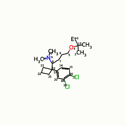 CCC(C)(C)OCCCC(N(C)C)C1(c2ccc(Cl)c(Cl)c2)CCC1